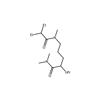 CCCC(CCCN(C)C(=O)C(CC)CC)C(=O)N(C)C